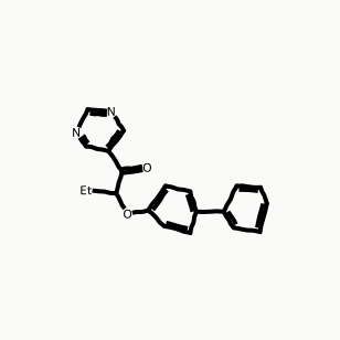 CCC(Oc1ccc(-c2ccccc2)cc1)C(=O)c1cncnc1